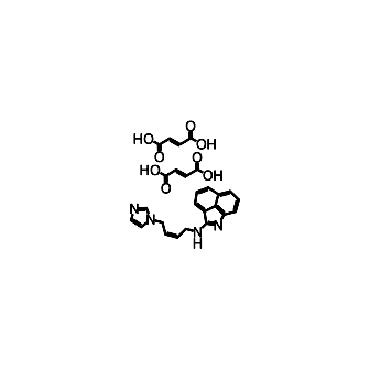 C(=C/Cn1ccnc1)/CNC1=Nc2cccc3cccc1c23.O=C(O)/C=C/C(=O)O.O=C(O)/C=C/C(=O)O